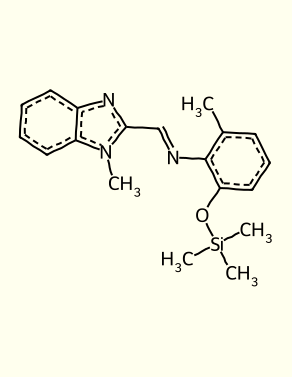 Cc1cccc(O[Si](C)(C)C)c1N=Cc1nc2ccccc2n1C